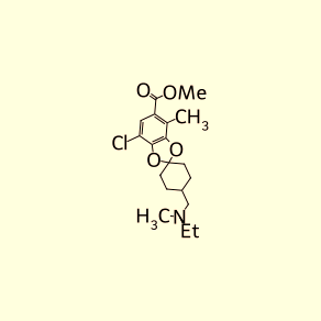 CCN(C)CC1CCC2(CC1)Oc1c(Cl)cc(C(=O)OC)c(C)c1O2